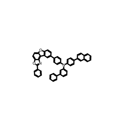 c1ccc(-c2cccc(N(c3ccc(-c4ccc5ccccc5c4)cc3)c3ccc(-c4ccc5oc6ccc7oc(-c8ccccc8)nc7c6c5c4)cc3)c2)cc1